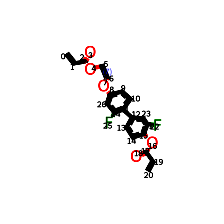 C=CC(=O)O/C=C\Oc1ccc(-c2ccc(OC(=O)C=C)c(F)c2)c(F)c1